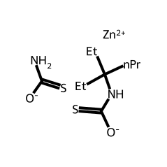 CCCC(CC)(CC)NC([O-])=S.NC([O-])=S.[Zn+2]